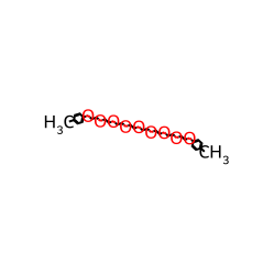 Cc1ccc(OCCOCCOCCOCCOCCOCCOCCOCCOc2ccc(C)cc2)cc1